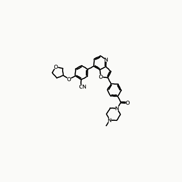 CN1CCN(C(=O)c2ccc(-c3cc4nccc(-c5ccc(OC6CCOC6)c(C#N)c5)c4o3)cc2)CC1